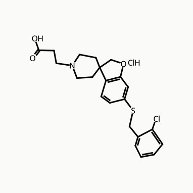 Cl.O=C(O)CCN1CCC2(CC1)COc1cc(SCc3ccccc3Cl)ccc12